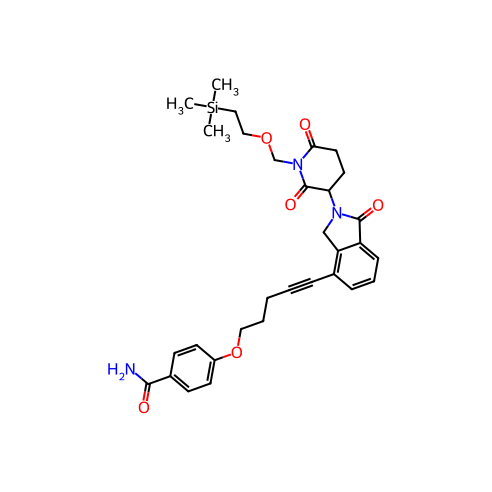 C[Si](C)(C)CCOCN1C(=O)CCC(N2Cc3c(C#CCCCOc4ccc(C(N)=O)cc4)cccc3C2=O)C1=O